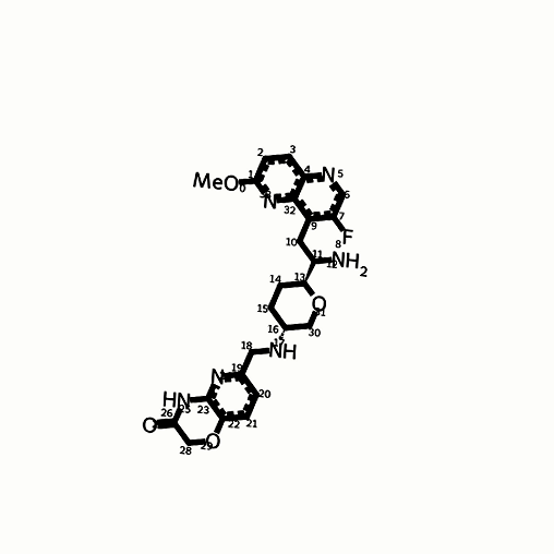 COc1ccc2ncc(F)c(CC(N)[C@@H]3CC[C@@H](NCc4ccc5c(n4)NC(=O)CO5)CO3)c2n1